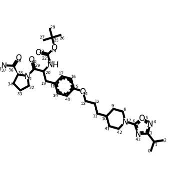 CC(C)c1noc(N2CCC(CCCOc3ccc(CC(NC(=O)OC(C)(C)C)C(=O)N4CCC[C@H]4C(N)=O)cc3)CC2)n1